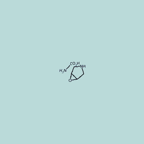 C1NCC2OC12.NC(=O)O